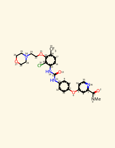 CNC(=O)c1cc(Oc2ccc(NC(=O)Nc3ccc(C(F)(F)F)c(OCCN4CCOCC4)c3Cl)cc2)ccn1